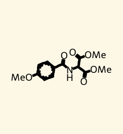 COC(=O)C(NC(=O)c1ccc(OC)cc1)C(=O)OC